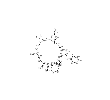 C=CCC1C=C(C)CCOC(=O)CCC(=O)C(=O)N2CCCC[C@H]2C(=O)O[C@H](CCc2cccnc2)[C@H](C)CCC1=O